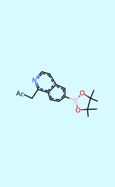 CC(=O)Cc1nccc2cc(B3OC(C)(C)C(C)(C)O3)ccc12